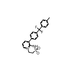 Cc1ccc(C(F)(F)c2ccc(-c3ccc[n+]4c3NS(=O)(=O)CC4)cc2)cc1